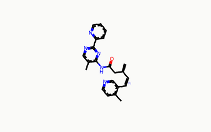 C=C(/C=C\c1cnccc1C)CC(=O)Nc1nc(-c2ccccn2)ncc1C